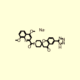 COc1cc(C(=O)N2CCC3(CC2)CC(=O)c2cc(-c4nnn[nH]4)ccc2O3)nc2c(OC)cccc12.[Na]